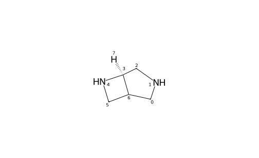 C1NC[C@@H]2NCC12